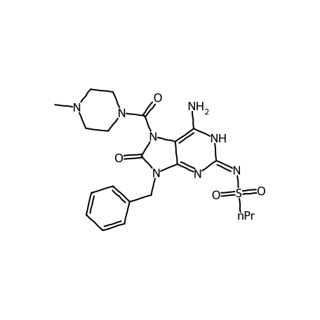 CCCS(=O)(=O)N=c1nc2c(c(N)[nH]1)n(C(=O)N1CCN(C)CC1)c(=O)n2Cc1ccccc1